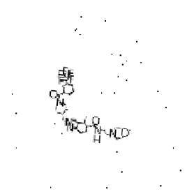 Cc1c(C(=O)NCCN2CCOCC2)ccc2nn(CC3CCN(C(=O)c4cccc(S(F)(F)(F)(F)F)c4)CC3)cc12